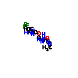 CCN1CCN(C(=O)c2cnc(-c3cc(Oc4ccc5c(c4)nc(Nc4ccc(C(F)(F)F)cc4)n5C)ccn3)[nH]2)CC1